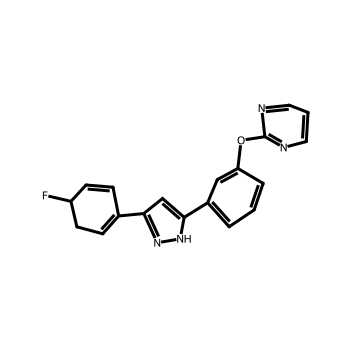 FC1C=CC(c2cc(-c3cccc(Oc4ncccn4)c3)[nH]n2)=CC1